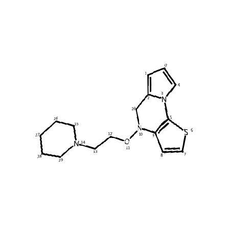 c1cc2n(c1)-c1sccc1N(OCCN1CCCCC1)C2